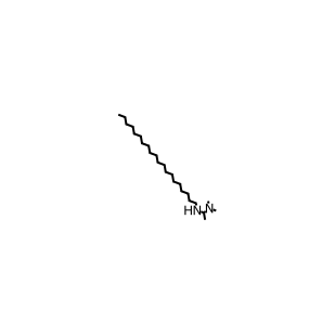 CCCCCCCCCCCCCCCCCCCCNC(C)N(C)C